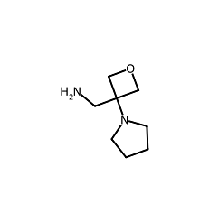 NCC1(N2CCCC2)COC1